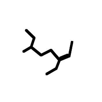 CC=C(CC)CCC(C)CC